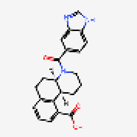 O=C(O)c1cccc2c1[C@@H]1CCCN(C(=O)c3ccc4[nH]cnc4c3)[C@@H]1CC2